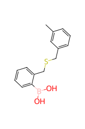 Cc1cccc(CSCc2ccccc2B(O)O)c1